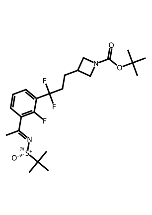 CC(=N[S@@+]([O-])C(C)(C)C)c1cccc(C(F)(F)CCC2CN(C(=O)OC(C)(C)C)C2)c1F